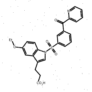 CCOc1ccc2c(c1)c(CCC(=O)O)cn2S(=O)(=O)c1cccc(C(=O)c2ccccn2)c1